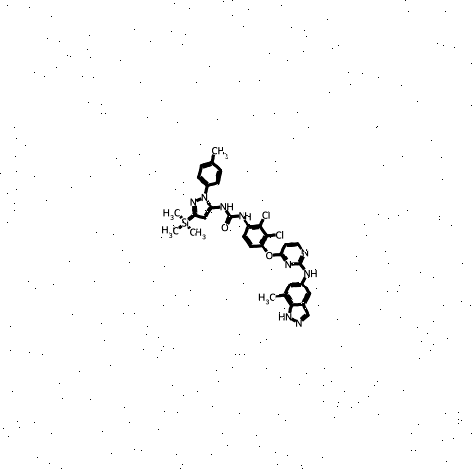 Cc1ccc(-n2nc([Si](C)(C)C)cc2NC(=O)Nc2ccc(Oc3ccnc(Nc4cc(C)c5[nH]ncc5c4)n3)c(Cl)c2Cl)cc1